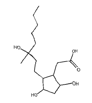 CCCCCC(C)(O)CCC1C(O)CC(O)C1CC(=O)O